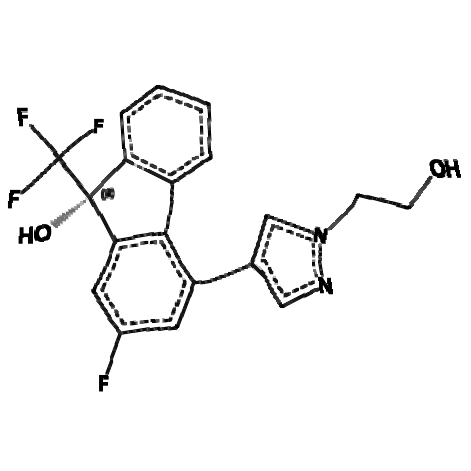 OCCn1cc(-c2cc(F)cc3c2-c2ccccc2[C@]3(O)C(F)(F)F)cn1